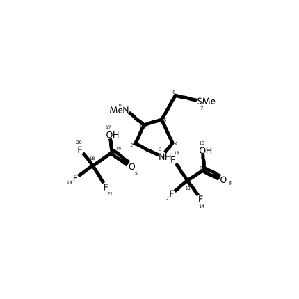 CNC1CNCC1CSC.O=C(O)C(F)(F)F.O=C(O)C(F)(F)F